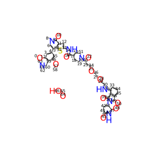 COc1cc(-c2cn(C)c(=O)c3cc(NC(=O)C4CCN(C(=O)CCOCCOCCNc5cccc6c5C(=O)N(C5CCC(=O)NC5=O)C6=O)CC4)sc23)cc(OC)c1CN(C)C.O=CO